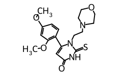 COc1ccc(-c2cc(=O)[nH]c(=S)n2CCN2CCOCC2)c(OC)c1